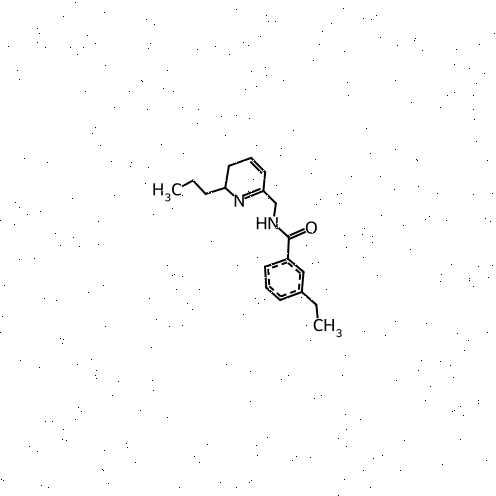 CCCC1CC=CC(CNC(=O)c2cccc(CC)c2)=N1